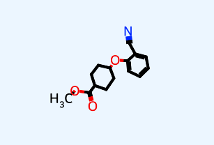 COC(=O)C1CCC(Oc2ccccc2C#N)CC1